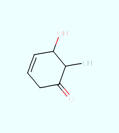 CC1C(=O)CC=CC1O